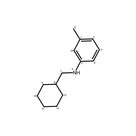 Cc1cc[c]c(NCC2CCCCC2)c1